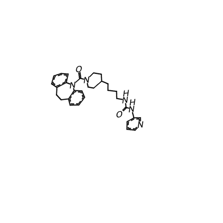 O=C(NCCCCC1CCN(C(=O)N2c3ccccc3CCc3ccccc32)CC1)Nc1cccnc1